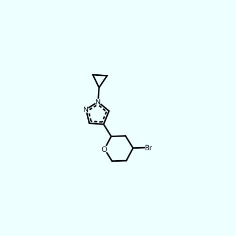 BrC1CCOC(c2cnn(C3CC3)c2)C1